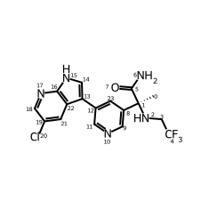 C[C@@](NCC(F)(F)F)(C(N)=O)c1cncc(-c2c[nH]c3ncc(Cl)cc23)c1